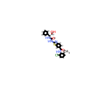 Cc1cccc(Cl)c1NC(=O)c1ccc2nc(NC(=O)N[C@@H](CO)c3ccccc3)sc2c1